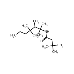 CCCC(C)(C)C(C)C(C)(C)NC(=O)CC(C)(C)C